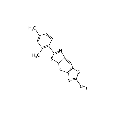 Cc1ccc(-c2nc3cc4sc(C)nc4cc3s2)c(C)c1